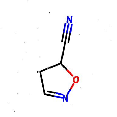 N#CC1[CH]C=NO1